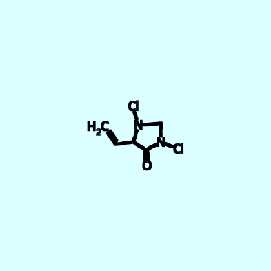 C=CC1C(=O)N(Cl)CN1Cl